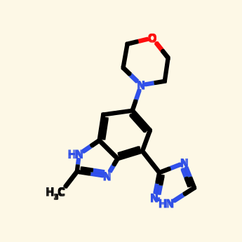 Cc1nc2c(-c3nc[nH]n3)cc(N3CCOCC3)cc2[nH]1